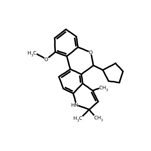 COc1cccc2c1-c1ccc3c(c1C(C1CCCC1)O2)C(C)=CC(C)(C)N3